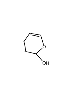 OC1[C]CC=CO1